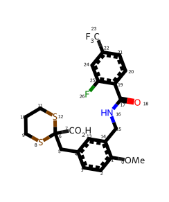 COc1ccc(CC2(C(=O)O)SCCCS2)cc1CNC(=O)c1ccc(C(F)(F)F)cc1F